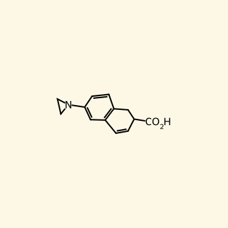 O=C(O)C1C=Cc2cc(N3CC3)ccc2C1